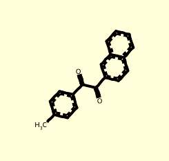 Cc1ccc(C(=O)C(=O)c2ccc3ccccc3c2)cc1